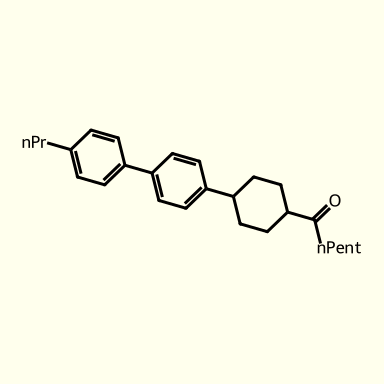 CCCCCC(=O)C1CCC(c2ccc(-c3ccc(CCC)cc3)cc2)CC1